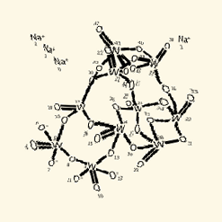 [Na+].[Na+].[Na+].[Na+].[O]=[W]1([O-])([O-])[O][W](=[O])([O-])([O-])[O][W]23(=[O])[O][W]4(=[O])([O]1)[O][W]15(=[O])[O][W]6(=[O])([O]2)[O][W]2(=[O])([O]3)[O][W](=[O])([O]6)([O]2)[O][W]2(=[O])([O]1)[O][W](=[O])([O]4)([O]5)[O]2